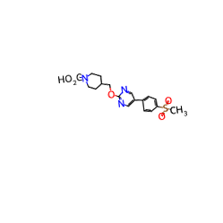 CS(=O)(=O)c1ccc(-c2cnc(OCC3CCN(C(=O)O)CC3)nc2)cc1